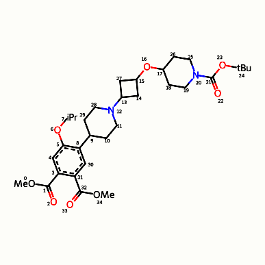 COC(=O)c1cc(OC(C)C)c(C2CCN(C3CC(OC4CCN(C(=O)OC(C)(C)C)CC4)C3)CC2)cc1C(=O)OC